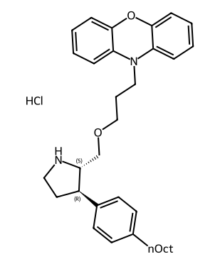 CCCCCCCCc1ccc([C@H]2CCN[C@@H]2COCCCN2c3ccccc3Oc3ccccc32)cc1.Cl